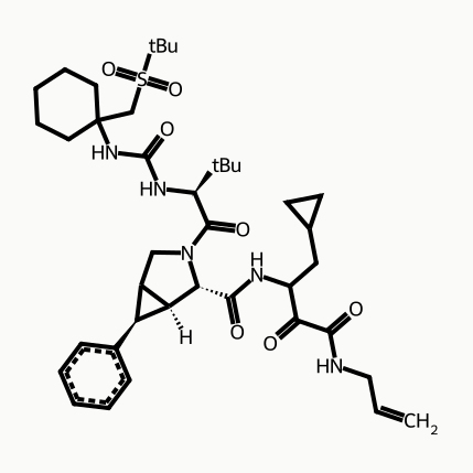 C=CCNC(=O)C(=O)C(CC1CC1)NC(=O)[C@@H]1[C@@H]2C(CN1C(=O)[C@@H](NC(=O)NC1(CS(=O)(=O)C(C)(C)C)CCCCC1)C(C)(C)C)[C@@H]2c1ccccc1